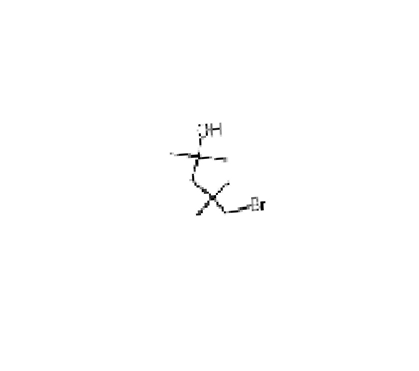 CC(C)(O)CC(C)(C)CBr